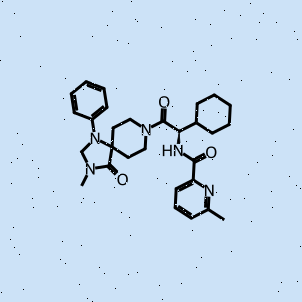 Cc1cccc(C(=O)N[C@@H](C(=O)N2CCC3(CC2)C(=O)N(C)CN3c2ccccc2)C2CCCCC2)n1